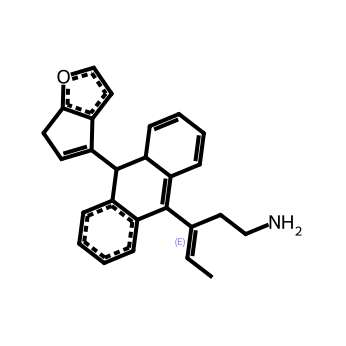 C/C=C(\CCN)C1=C2C=CC=CC2C(C2=CCc3occc32)c2ccccc21